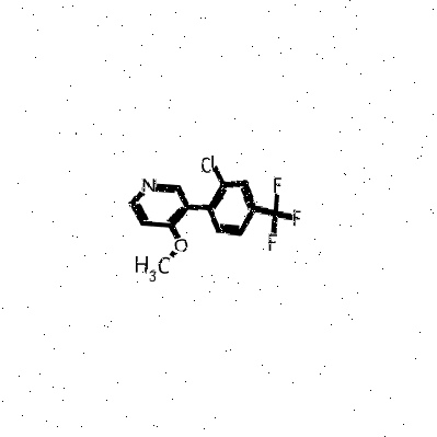 COc1ccncc1-c1ccc(C(F)(F)F)cc1Cl